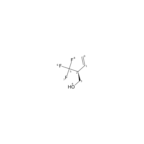 C=C[C@@H](CO)C(F)(F)F